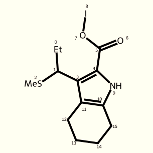 CCC(SC)c1c(C(=O)OI)[nH]c2c1CCCC2